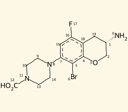 N[C@@H]1COc2c(Br)c(N3CCN(C(=O)O)CC3)cc(F)c2C1